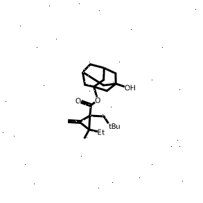 C=C1C(C)(CC)C1(CC(C)(C)C)C(=O)OC12CC3CC(CC(O)(C3)C1)C2